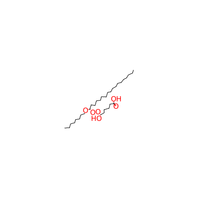 CCCCCCCCCCCCCCCCCC(=O)OCCCCCCCC.O=C(O)CCCCC(=O)O